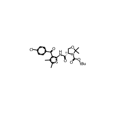 Cc1sc(NC(=O)[C@@H]2COC(C)(C)N2C(=O)OC(C)(C)C)c(C(=O)c2ccc(Cl)cc2)c1C